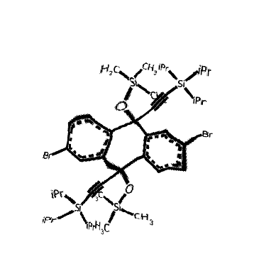 CC(C)[Si](C#CC1(O[Si](C)(C)C)c2ccc(Br)cc2C(C#C[Si](C(C)C)(C(C)C)C(C)C)(O[Si](C)(C)C)c2ccc(Br)cc21)(C(C)C)C(C)C